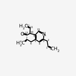 C=CCc1cc(CC=C)c(C(C=C)C=O)cn1